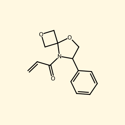 C=CC(=O)N1C(c2ccccc2)COC12COC2